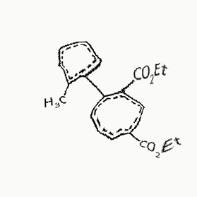 CCOC(=O)c1ccc(-c2ccccc2C)c(C(=O)OCC)c1